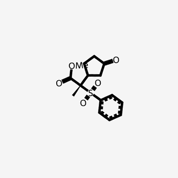 COC(=O)[C@](C)(C1CCC(=O)C1)S(=O)(=O)c1ccccc1